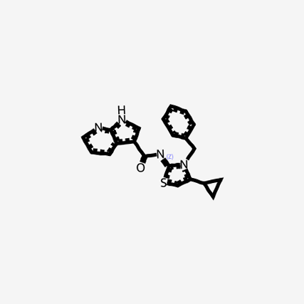 O=C(/N=c1\scc(C2CC2)n1Cc1ccccc1)c1c[nH]c2ncccc12